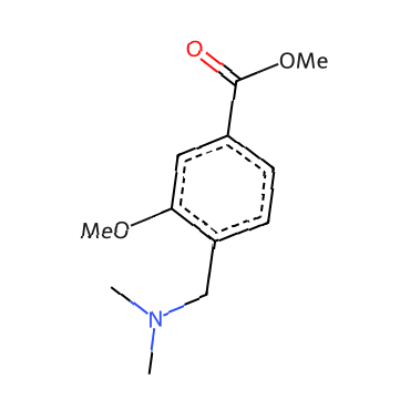 COC(=O)c1ccc(CN(C)C)c(OC)c1